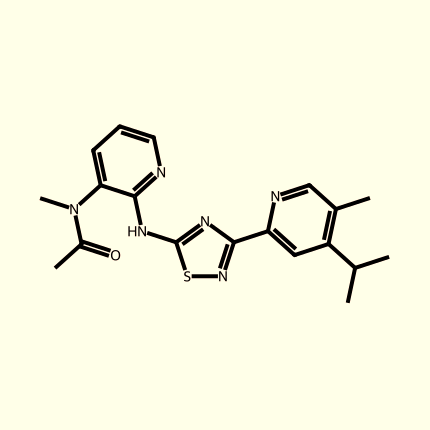 CC(=O)N(C)c1cccnc1Nc1nc(-c2cc(C(C)C)c(C)cn2)ns1